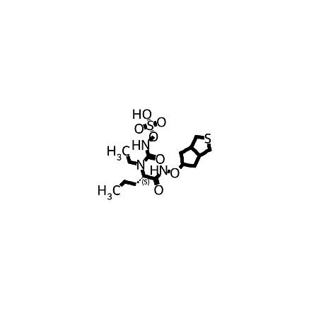 CCC[C@@H](C(=O)NOC1CC2CSCC2C1)N(CC)C(=O)NOS(=O)(=O)O